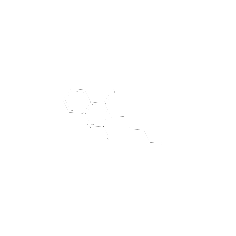 O=c1c2ccccc2[nH]c(=S)n1CCCCO